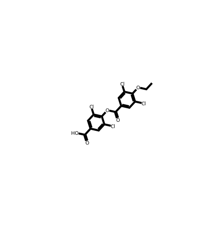 CCOc1c(Cl)cc(C(=O)Oc2c(Cl)cc(C(=O)O)cc2Cl)cc1Cl